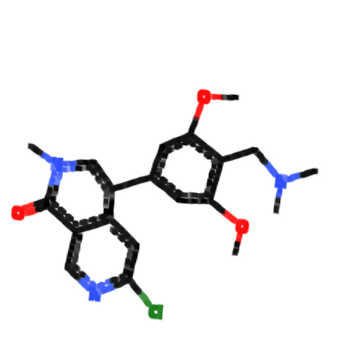 COc1cc(-c2cn(C)c(=O)c3cnc(Cl)cc23)cc(OC)c1CN(C)C